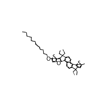 CCCCCCCCCCCCOc1cc2oc3c(c2s1)C(CC)(CC)c1ccc2c4c(ccc2c1-3)C(CC)(CC)c1cc(C)sc1-4